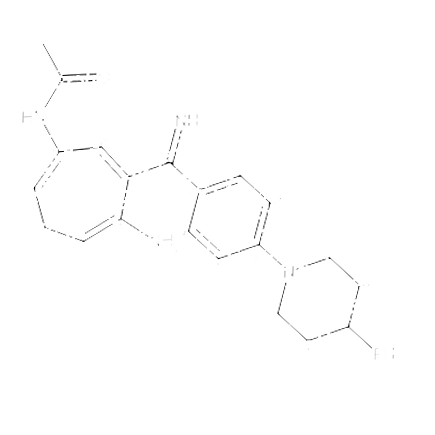 CC(=O)NC1=CCC=C(N)C(C(=N)c2ccc(N3CCC(P)CC3)cc2)=C1